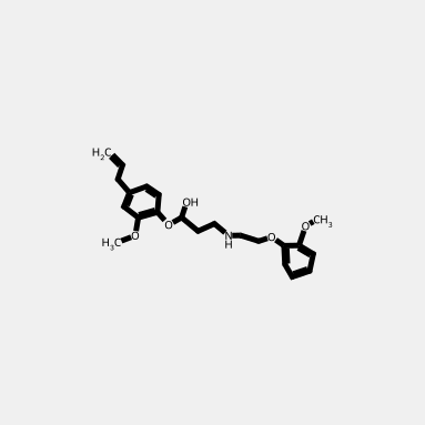 C=CCc1ccc(OC(O)CCNCCOc2ccccc2OC)c(OC)c1